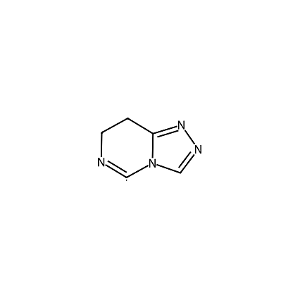 [C]1=NCCc2nncn21